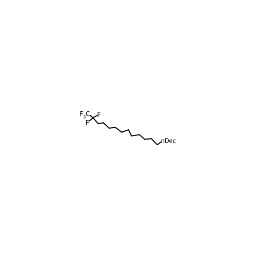 CCCCCCCCCCCCCCCCCCCCCC(F)(F)C(F)(F)F